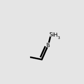 CC=B[SiH3]